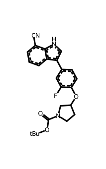 CC(C)(C)OC(=O)N1CCC(Oc2ccc(-c3c[nH]c4c(C#N)cccc34)cc2F)C1